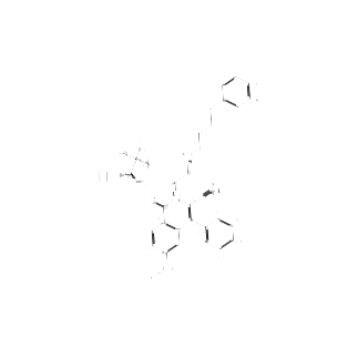 COc1ccc2c(=O)n(CCNCCCCc3ccccc3)c(C#N)c(-c3ccccc3)c2c1.O=C(O)C(F)(F)F